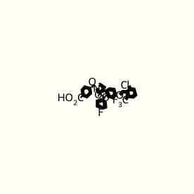 O=C(O)[C@H]1CC[C@H](C(=O)N2CC[C@](c3ccc(OCc4c(Cl)cccc4C(F)(F)F)cc3)(S(=O)(=O)c3ccc(F)cc3)C2)CC1